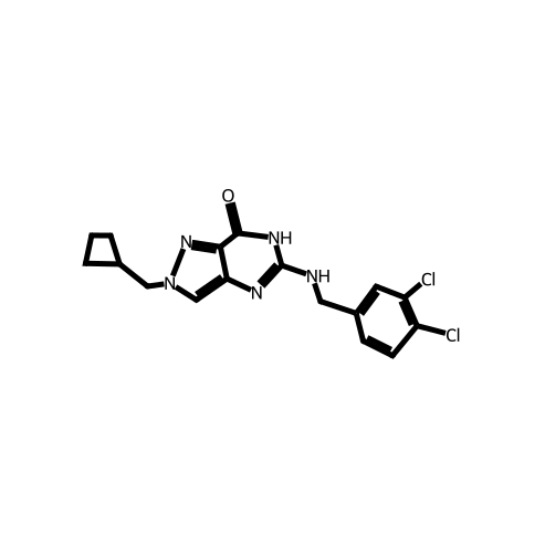 O=c1[nH]c(NCc2ccc(Cl)c(Cl)c2)nc2cn(CC3CCC3)nc12